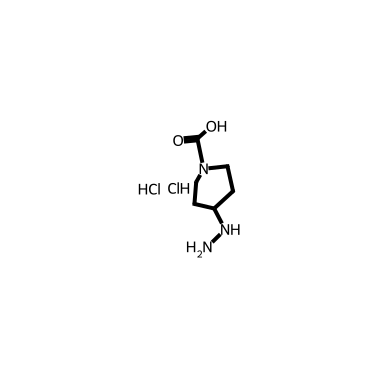 Cl.Cl.NNC1CCN(C(=O)O)CC1